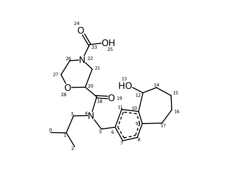 CC(C)CN(Cc1ccc2c(c1)C(O)CCCC2)C(=O)C1CN(C(=O)O)CCO1